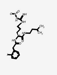 CC(C)CCNC(=O)[C@H](CCCNC(=N)N[N+](=O)[O-])NC(=O)Cc1ccccc1I